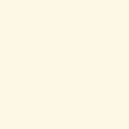 c1ccc2c(c1)cc(C1CCCCC1)c1oc3ccccc3c12